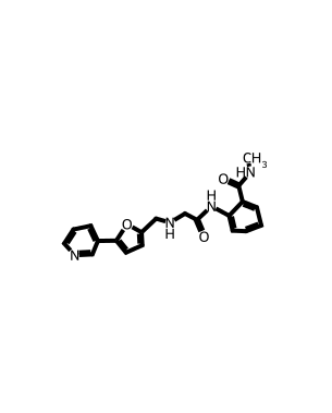 CNC(=O)c1ccccc1NC(=O)CNCc1ccc(-c2cccnc2)o1